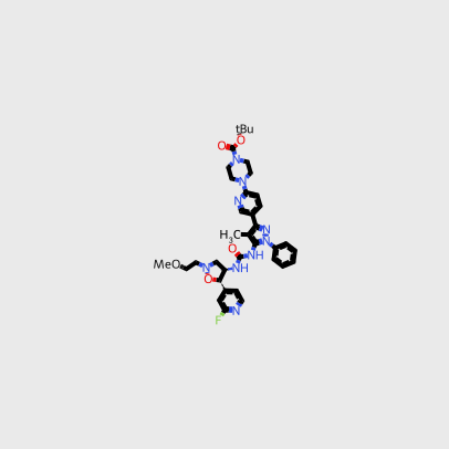 COCCN1C[C@@H](NC(=O)Nc2c(C)c(-c3ccc(N4CCN(C(=O)OC(C)(C)C)CC4)nc3)nn2-c2ccccc2)[C@H](c2ccnc(F)c2)O1